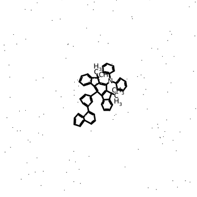 CC1(C)c2ccccc2-c2c(-c3cccc(-c4cccc5ccccc45)c3)c3c(c(N(c4ccccc4)c4ccccc4)c21)C(C)(C)c1ccccc1-3